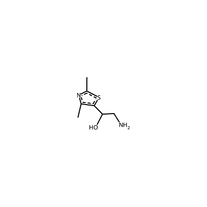 Cc1nc(C)c(C(O)CN)s1